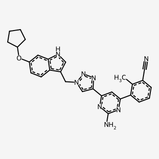 Cc1c(C#N)cccc1-c1cc(-c2cn(Cc3c[nH]c4cc(OC5CCCC5)ccc34)nn2)nc(N)n1